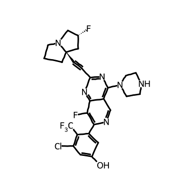 Oc1cc(Cl)c(C(F)(F)F)c(-c2ncc3c(N4CCNCC4)nc(C#C[C@@]45CCCN4C[C@H](F)C5)nc3c2F)c1